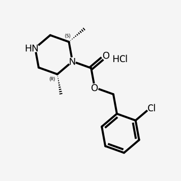 C[C@@H]1CNC[C@H](C)N1C(=O)OCc1ccccc1Cl.Cl